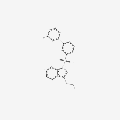 O=C(O)CCc1cn(S(=O)(=O)c2cccc(-c3cccc(C(F)(F)F)c3)c2)c2ccccc12